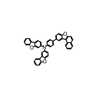 c1ccc2c(c1)ccc1oc3ccc(-c4ccc(N(c5ccc6c(c5)oc5ccccc56)c5ccc6oc7ccccc7c6c5)cc4)cc3c12